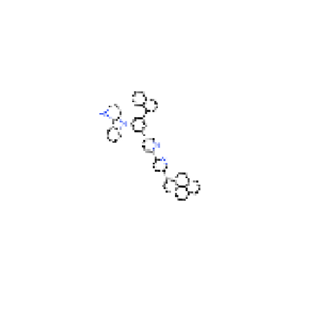 C1=Cc2c(c3ccccc3n2-c2cc(-c3ccc(-c4ccc(-c5ccc6ccc7cccc8ccc5c6c78)cn4)nc3)cc(-c3cccc4ccccc34)c2)NC1